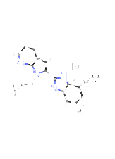 CCCCn1c(-c2cc3cccnc3n2CC2CC2)nc2cc(C(C)=O)cc(OC)c21